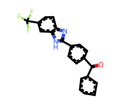 O=C(c1ccccc1)c1ccc(-c2nc3ccc(C(F)(F)F)cc3[nH]2)cc1